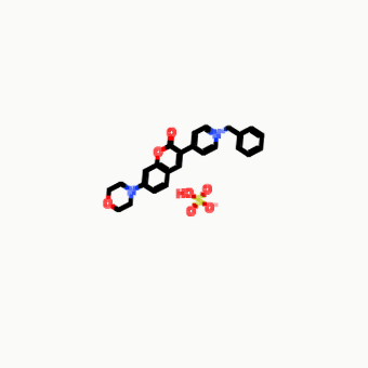 O=S(=O)([O-])O.O=c1oc2cc(N3CCOCC3)ccc2cc1-c1cc[n+](Cc2ccccc2)cc1